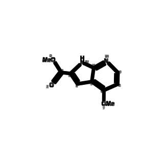 COC(=O)c1cc2c(OC)ccnc2[nH]1